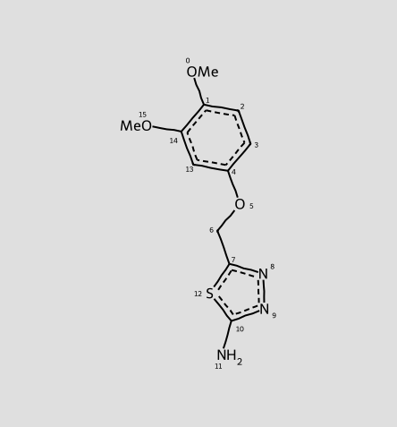 COc1ccc(OCc2nnc(N)s2)cc1OC